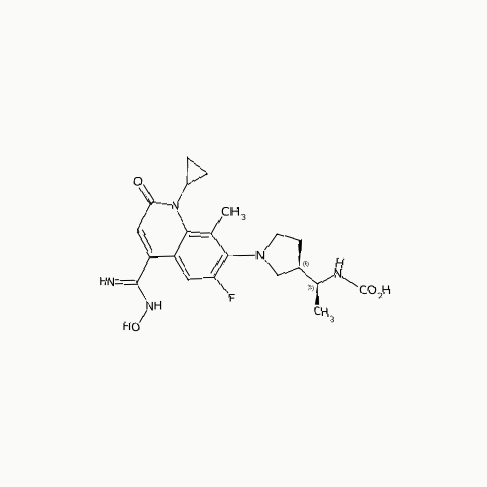 Cc1c(N2CC[C@@H]([C@H](C)NC(=O)O)C2)c(F)cc2c(C(=N)NO)cc(=O)n(C3CC3)c12